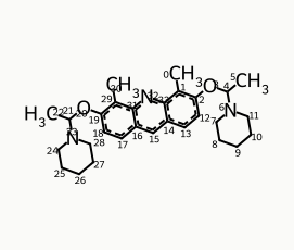 Cc1c(OC(C)N2CCCCC2)ccc2cc3ccc(OC(C)N4CCCCC4)c(C)c3nc12